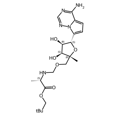 C[C@H](NCOC[C@@]1(C)O[C@@H](c2ccc3c(N)ncnn23)[C@H](O)[C@@H]1O)C(=O)OCC(C)(C)C